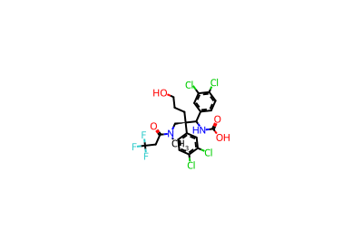 CN(C[C@](CCCO)(c1ccc(Cl)c(Cl)c1)C(NC(=O)O)c1ccc(Cl)c(Cl)c1)C(=O)CC(F)(F)F